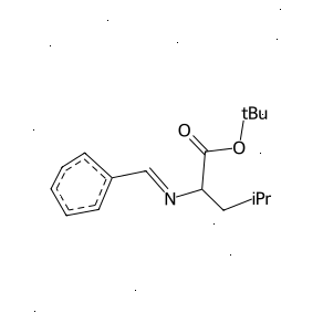 CC(C)CC(/N=C/c1ccccc1)C(=O)OC(C)(C)C